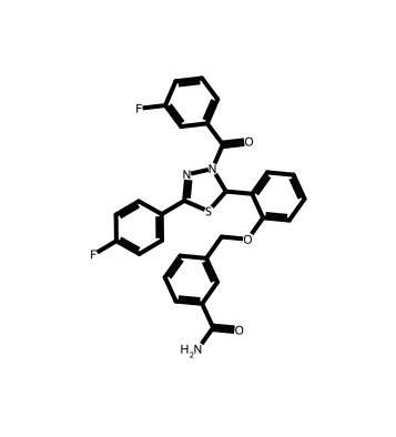 NC(=O)c1cccc(COc2ccccc2C2SC(c3ccc(F)cc3)=NN2C(=O)c2cccc(F)c2)c1